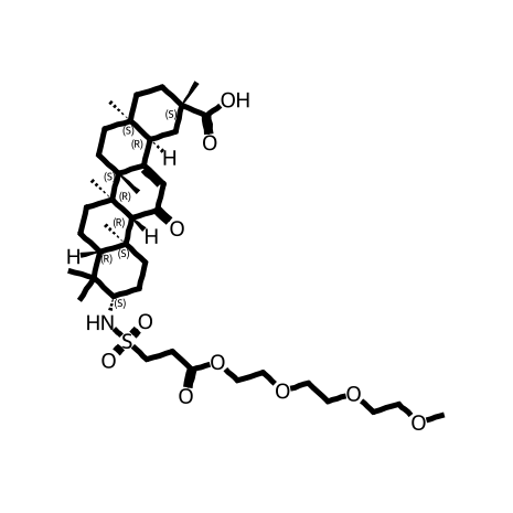 COCCOCCOCCOC(=O)CCS(=O)(=O)N[C@H]1CC[C@]2(C)[C@H]3C(=O)C=C4[C@@H]5C[C@@](C)(C(=O)O)CC[C@]5(C)CC[C@@]4(C)[C@]3(C)CC[C@H]2C1(C)C